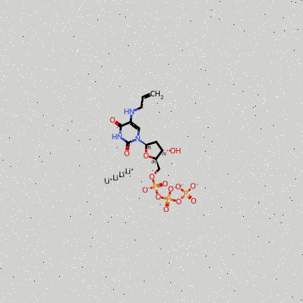 C=CCNc1cn([C@H]2C[C@H](O)[C@@H](COP(=O)([O-])OP(=O)([O-])OP(=O)([O-])[O-])O2)c(=O)[nH]c1=O.[Li+].[Li+].[Li+].[Li+]